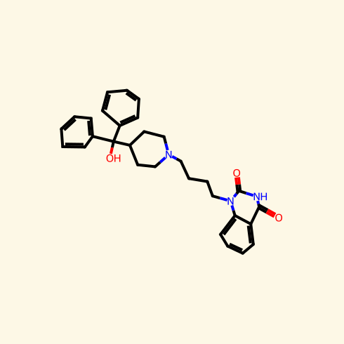 O=c1[nH]c(=O)n(CCCCN2CCC(C(O)(c3ccccc3)c3ccccc3)CC2)c2ccccc12